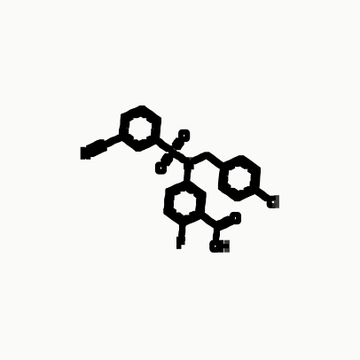 N#Cc1cccc(S(=O)(=O)N(Cc2ccc(Cl)cc2)c2ccc(F)c(C(=O)O)c2)c1